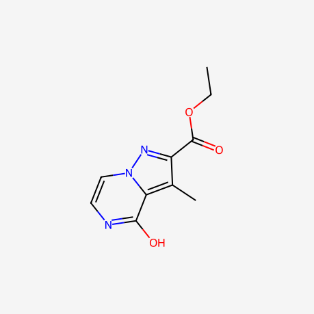 CCOC(=O)c1nn2ccnc(O)c2c1C